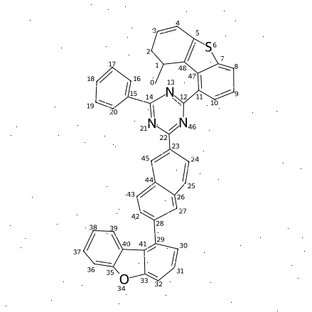 CC1CC=Cc2sc3cccc(-c4nc(-c5ccccc5)nc(-c5ccc6cc(-c7cccc8oc9ccccc9c78)ccc6c5)n4)c3c21